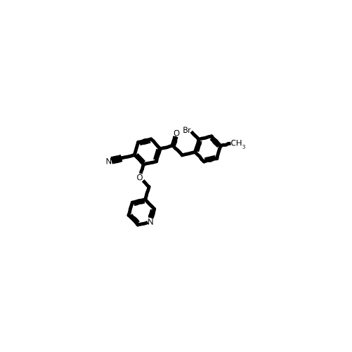 Cc1ccc(CC(=O)c2ccc(C#N)c(OCc3cccnc3)c2)c(Br)c1